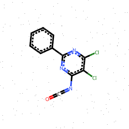 O=C=Nc1nc(-c2ccccc2)nc(Cl)c1Cl